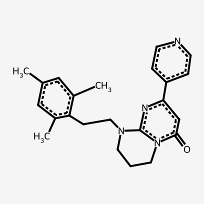 Cc1cc(C)c(CCN2CCCn3c2nc(-c2ccncc2)cc3=O)c(C)c1